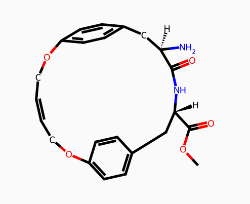 COC(=O)[C@@H]1Cc2ccc(cc2)OC/C=C\COc2ccc(cc2)C[C@@H](N)C(=O)N1